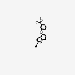 C#Cc1ccc2c(Oc3cccc(C(=O)OC)c3)cccc2n1